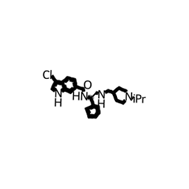 CC(C)N1CCC(CNC[C@H](NC(=O)c2ccc3c(Cl)c[nH]c3c2)c2ccccc2)CC1